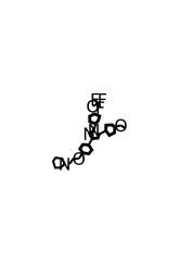 COc1ccc(-c2cc(-c3ccc(OCCN4CCCCC4)cc3)nn2-c2ccc(OC(F)(F)F)cc2)cc1